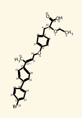 CCO[C@@H](Cc1ccc(OC/C=C(\C)c2ccc(-c3ccc(Br)cc3)cc2)cc1)C(=O)O